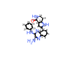 Nc1nc2cccc(-c3cc4c([nH]3)CCNC4=O)c2nc1Nc1ccccc1